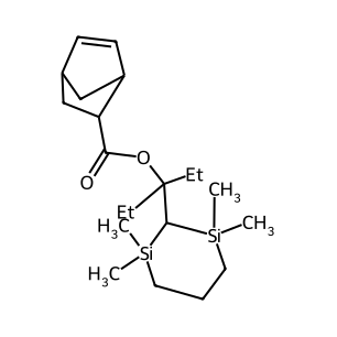 CCC(CC)(OC(=O)C1CC2C=CC1C2)C1[Si](C)(C)CCC[Si]1(C)C